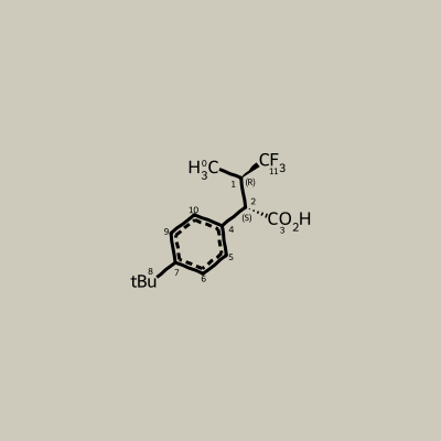 C[C@H]([C@H](C(=O)O)c1ccc(C(C)(C)C)cc1)C(F)(F)F